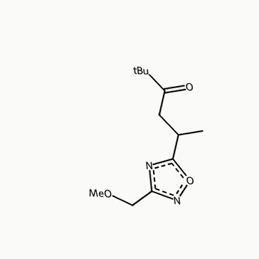 COCc1noc(C(C)CC(=O)C(C)(C)C)n1